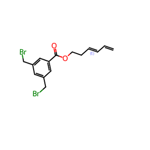 C=C/C=C/CCOC(=O)c1cc(CBr)cc(CBr)c1